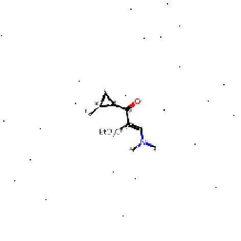 CCOC(=O)/C(=C\N(C)C)C(=O)C1C[C@@H]1C